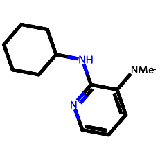 C[N]c1cccnc1NC1CCCCC1